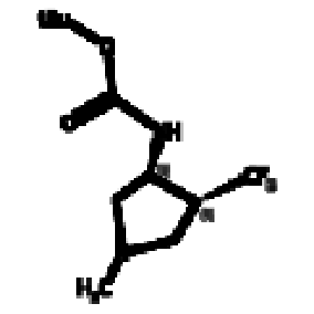 CN1C[C@@H](C(F)(F)F)[C@H](NC(=O)OC(C)(C)C)C1